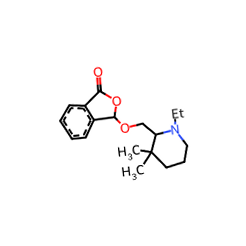 CCN1CCCC(C)(C)C1COC1OC(=O)c2ccccc21